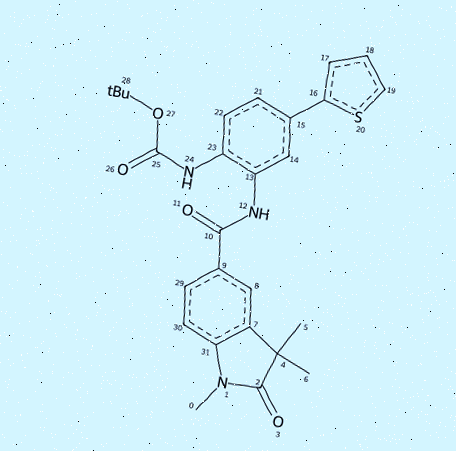 CN1C(=O)C(C)(C)c2cc(C(=O)Nc3cc(-c4cccs4)ccc3NC(=O)OC(C)(C)C)ccc21